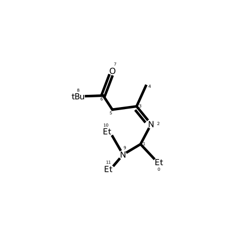 CCC(N=C(C)CC(=O)C(C)(C)C)N(CC)CC